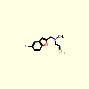 C=CCN(C)Cc1cc2cc(C(C)C)ccc2o1